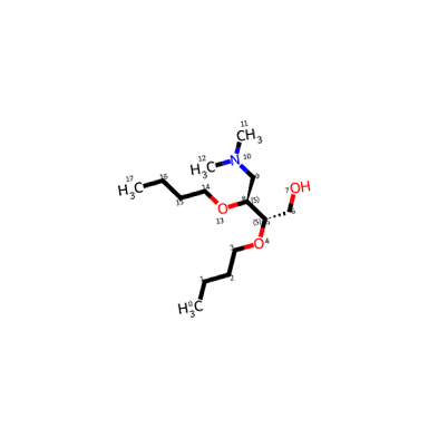 CCCCO[C@@H](CO)[C@H](CN(C)C)OCCCC